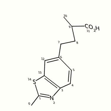 Cc1nc2ccc(CCC(C)C(=O)O)cc2s1